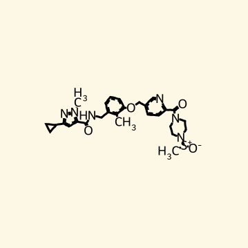 Cc1c(CNC(=O)c2cc(C3CC3)nn2C)cccc1OCc1ccc(C(=O)N2CCN([S+](C)[O-])CC2)nc1